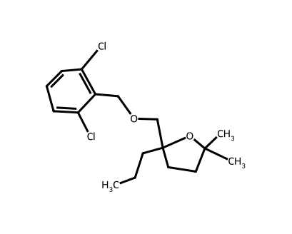 CCCC1(COCc2c(Cl)cccc2Cl)CCC(C)(C)O1